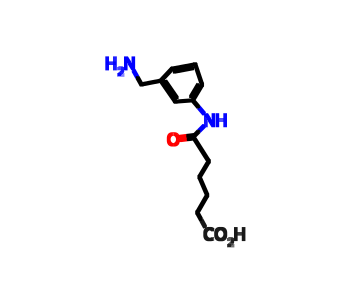 NCc1cccc(NC(=O)CCCCC(=O)O)c1